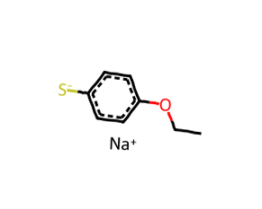 CCOc1ccc([S-])cc1.[Na+]